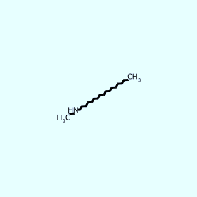 [CH2]CCNCCCCCCCCCCCCCCCCCC